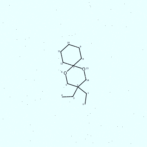 CCC1(CC)COC2(CCCCC2)OC1